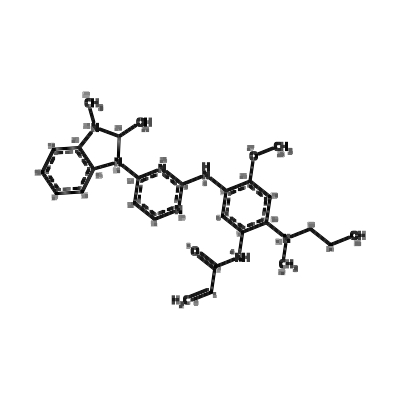 C=CC(=O)Nc1cc(Nc2nccc(N3c4ccccc4N(C)C3O)n2)c(OC)cc1N(C)CCO